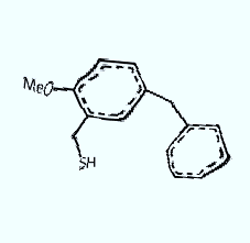 COc1ccc(Cc2ccccc2)cc1CS